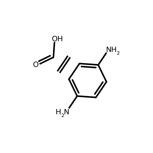 C=C.Nc1ccc(N)cc1.O=CO